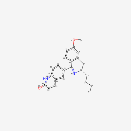 CCCC[C@H]1Cc2cc(OC)ccc2C(c2ccc3[nH]c(=O)ccc3c2)=N1